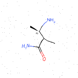 CC(C(N)=O)[C@@H](C)N